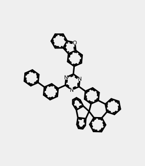 c1ccc(-c2cccc(-c3nc(-c4ccc5c(c4)C4(c6ccccc6-c6ccccc6-5)c5ccccc5-c5ccccc54)nc(-c4ccc5oc6ccccc6c5c4)n3)c2)cc1